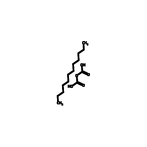 CCCCCCCCCCCC.O=C(O)OC(=O)O